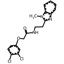 Cn1c(CCNC(=O)COc2ccc(Cl)c(Cl)c2)nc2ccccc21